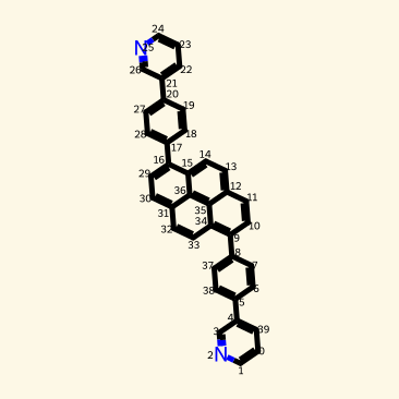 c1cncc(-c2ccc(-c3ccc4ccc5c(-c6ccc(-c7cccnc7)cc6)ccc6ccc3c4c65)cc2)c1